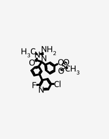 CN1C(=O)C(c2cccc(OS(C)(=O)=O)c2)(c2cccc(-c3cc(Cl)cnc3F)c2)N=C1N